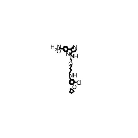 NC(=O)c1ccc2c(c1)nc(NCCOCCCCNCc1ccc(OC3CCCC3)c(Cl)c1)c1ccncc12